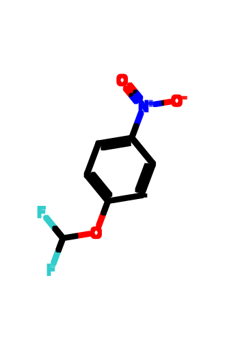 O=[N+]([O-])c1c[c]c(OC(F)F)cc1